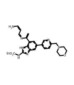 C=C(/N=C\C=C/N)c1cc(-c2ccc(CN3CCOCC3)nc2)cc2nc(NC(=O)OCC)[nH]c12